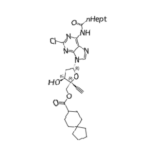 C#C[C@]1(COC(=O)C2CCC3(CCCC3)CC2)O[C@@H](n2cnc3c(NC(=O)CCCCCCC)nc(Cl)nc32)C[C@@H]1O